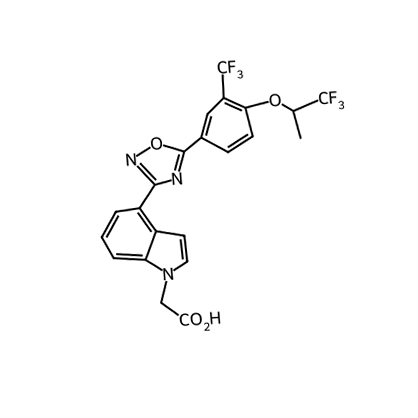 CC(Oc1ccc(-c2nc(-c3cccc4c3ccn4CC(=O)O)no2)cc1C(F)(F)F)C(F)(F)F